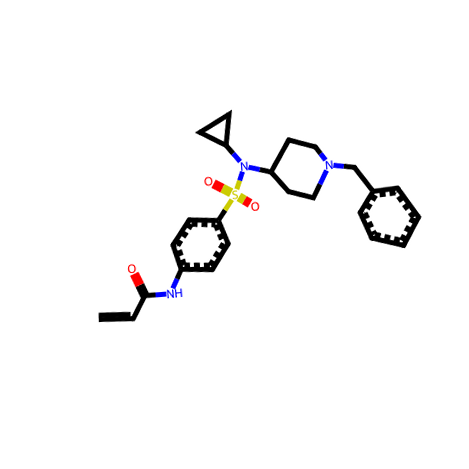 C=CC(=O)Nc1ccc(S(=O)(=O)N(C2CC2)C2CCN(Cc3ccccc3)CC2)cc1